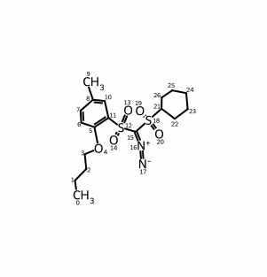 CCCCOc1ccc(C)cc1S(=O)(=O)C(=[N+]=[N-])S(=O)(=O)C1CCCCC1